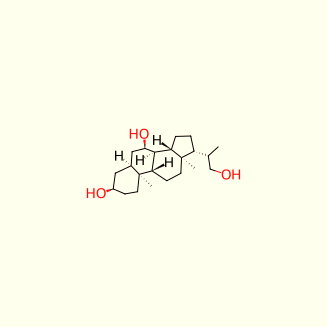 CC(CO)[C@H]1CC[C@H]2[C@@H]3[C@H](O)C[C@@H]4C[C@H](O)CC[C@]4(C)[C@H]3CC[C@]12C